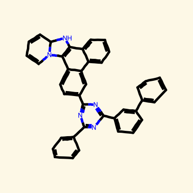 C1=CC2Nc3c(c4ccc(-c5nc(-c6ccccc6)nc(-c6cccc(-c7ccccc7)c6)n5)cc4c4ccccc34)N2C=C1